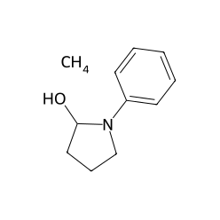 C.OC1CCCN1c1ccccc1